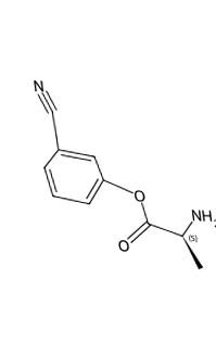 C[C@H](N)C(=O)Oc1cccc(C#N)c1